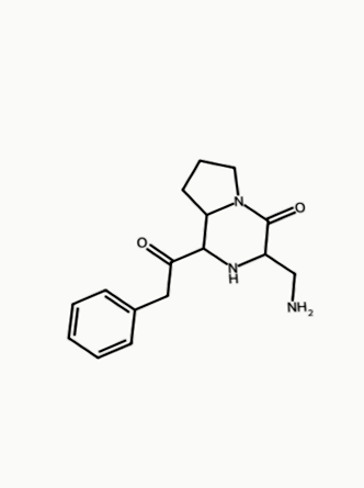 NCC1NC(C(=O)Cc2ccccc2)C2CCCN2C1=O